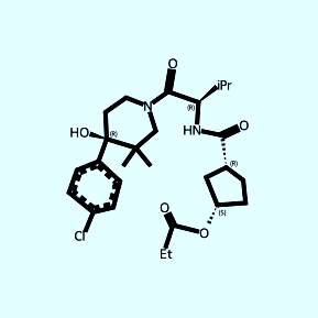 CCC(=O)O[C@H]1CC[C@@H](C(=O)N[C@@H](C(=O)N2CC[C@@](O)(c3ccc(Cl)cc3)C(C)(C)C2)C(C)C)C1